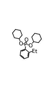 CCc1ccccc1P(=O)(OC1CCCCC1)OC1CCCCC1